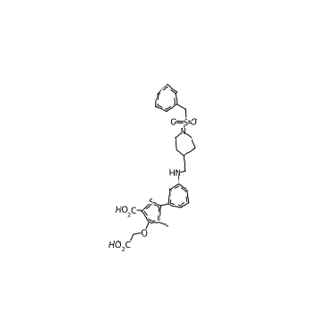 Cc1c(-c2cccc(NCC3CCN(S(=O)(=O)Cc4ccccc4)CC3)c2)sc(C(=O)O)c1OCC(=O)O